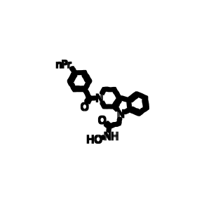 CCCc1ccc(C(=O)N2CCc3c(n(CC(=O)NO)c4ccccc34)C2)cc1